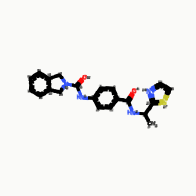 CC(NC(=O)c1ccc(NC(=O)N2Cc3ccccc3C2)cc1)c1nccs1